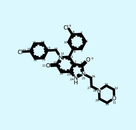 O=c1c2c(-c3cccc(Cl)c3)n(Cc3ccc(Cl)cc3)c(=O)cc2[nH]n1CCN1CCOCC1